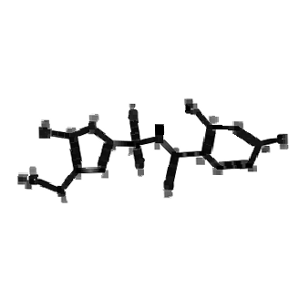 CSc1cc(S(=O)(=O)NC(=O)c2ccc(Cl)cc2Cl)sc1Br